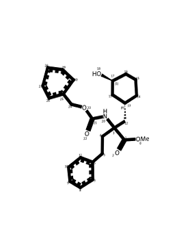 COC(=O)C(CCc1ccccc1)(C[C@H]1CCC[C@H](O)C1)NC(=O)OCc1ccccc1